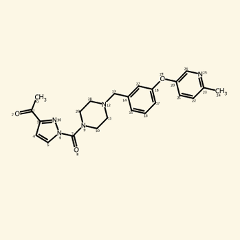 CC(=O)c1ccn(C(=O)N2CCN(Cc3cccc(Oc4ccc(C)nc4)c3)CC2)n1